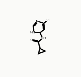 O=C(NC1C=C(Cl)N=CN1)C1CC1